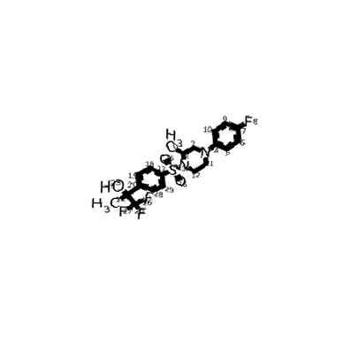 CC1CN(c2ccc(F)cc2)CCN1S(=O)(=O)c1ccc(C(C)(O)C(F)(F)F)cc1